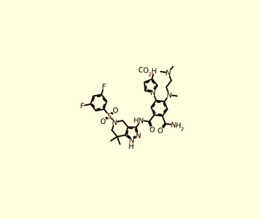 CN(C)CCN(C)c1cc(C(N)=O)c(C(=O)Nc2n[nH]c3c2CN(S(=O)(=O)c2cc(F)cc(F)c2)CC3(C)C)cc1-n1ccc(C(=O)O)c1